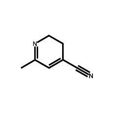 CC1=NCCC(C#N)=C1